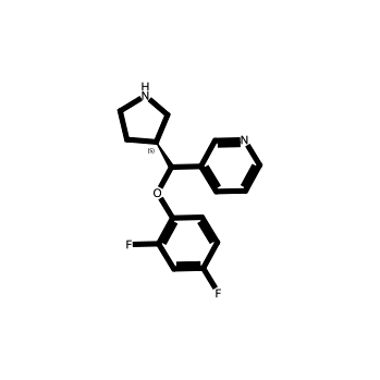 Fc1ccc(OC(c2cccnc2)[C@H]2CCNC2)c(F)c1